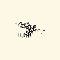 Cc1nnc(-n2cc(C(=O)O)c(=O)c3cc(F)c(N4CCC(N)C4)nc32)s1